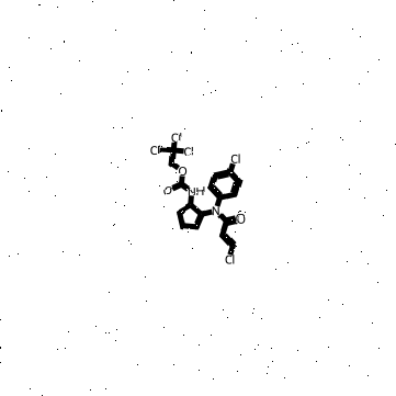 O=C(NC1CCCC1N(C(=O)C=CCl)c1ccc(Cl)cc1)OCC(Cl)(Cl)Cl